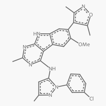 COc1cc2c(cc1-c1c(C)noc1C)[nH]c1nc(C)nc(Nc3cc(C)nn3-c3cccc(Cl)c3)c12